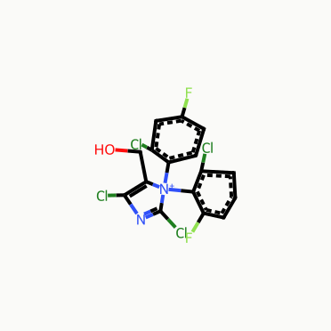 OCC1=C(Cl)N=C(Cl)[N+]1(c1ccc(F)cc1Cl)c1c(F)cccc1Cl